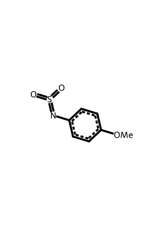 COc1ccc(N=S(=O)=O)cc1